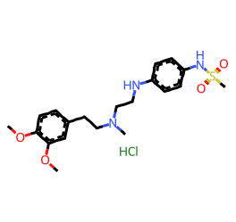 COc1ccc(CCN(C)CCNc2ccc(NS(C)(=O)=O)cc2)cc1OC.Cl